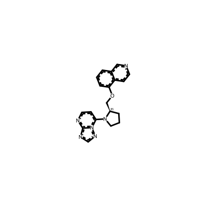 c1cc(OC[C@H]2CCCN2c2ccnc3ncnn23)c2ccncc2c1